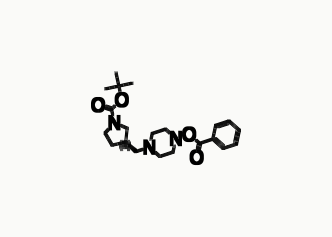 CC(C)(C)OC(=O)N1CC[C@H](CN2CCN(OC(=O)c3ccccc3)CC2)C1